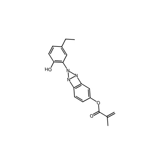 C=C(C)C(=O)Oc1ccc2c(c1)n1n(-c3cc(CC)ccc3O)n21